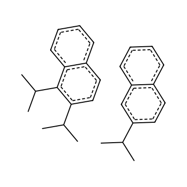 CC(C)c1ccc2ccccc2c1.CC(C)c1ccc2ccccc2c1C(C)C